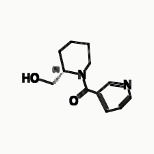 O=C(c1cccnc1)N1CCCC[C@H]1CO